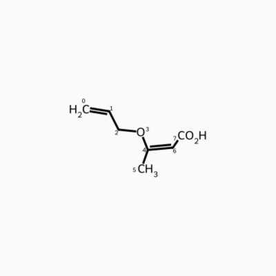 C=CCOC(C)=CC(=O)O